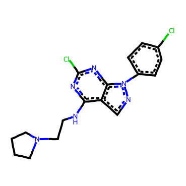 Clc1ccc(-n2ncc3c(NCCN4CCCC4)nc(Cl)nc32)cc1